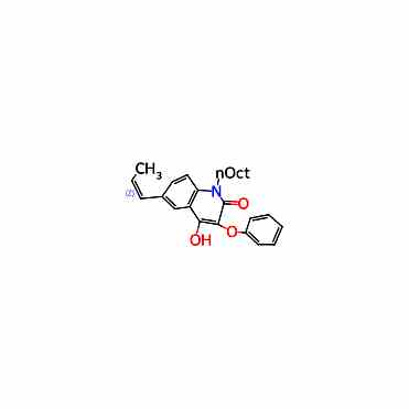 C/C=C\c1ccc2c(c1)c(O)c(Oc1ccccc1)c(=O)n2CCCCCCCC